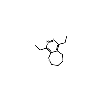 CCc1nnc(CC)c2c1CCCCS2